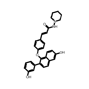 O=C(C=Cc1ccc(Oc2c(-c3cccc(O)c3)ccc3cc(O)ccc23)cc1)NN1CCCCC1